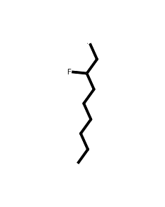 [CH2]CC(F)CCCCCC